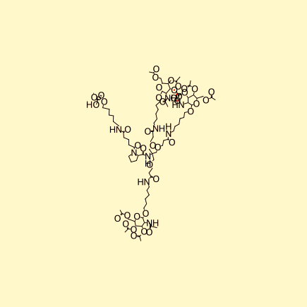 COP(=O)(O)OCCCCCCNC(=O)CCCC(=O)N1CCCC1C(=O)NC(COCCC(=O)NCCCCCCOC1OC(COC(C)=O)C(OC(C)=O)C(OC(C)=O)C1NC(C)=O)(COCCC(=O)NCCCCCCOC1OC(COC(C)=O)C(OC(C)=O)C(OC(C)=O)C1NC(C)=O)COCCC(=O)NCCCCCCOC1OC(COC(C)=O)C(OC(C)=O)C(OC(C)=O)C1NC(C)=O